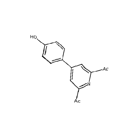 CC(=O)c1cc(-c2ccc(O)cc2)cc(C(C)=O)n1